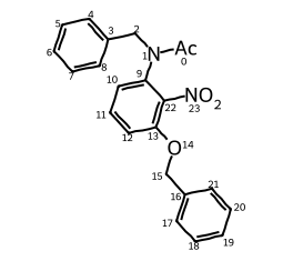 CC(=O)N(Cc1ccccc1)c1cccc(OCc2ccccc2)c1[N+](=O)[O-]